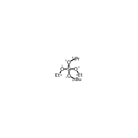 CCO[Si](OCC)(OC(C)C)OC(C)(C)C